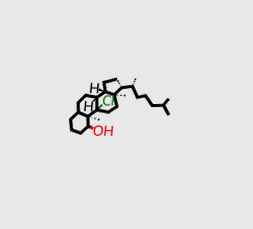 CC(C)CCC[C@@H](C)[C@H]1CC[C@H]2[C@@H]3CCC4CCCC(O)[C@]4(C)[C@@]3(Cl)CC[C@]12C